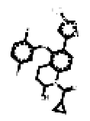 CC1CCc2c(ccc(-c3cn(C)nn3)c2Oc2cc(F)ccc2F)N1C(=O)C1CC1